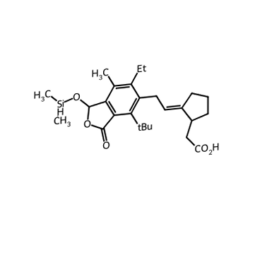 CCc1c(C)c2c(c(C(C)(C)C)c1CC=C1CCCC1CC(=O)O)C(=O)OC2O[SiH](C)C